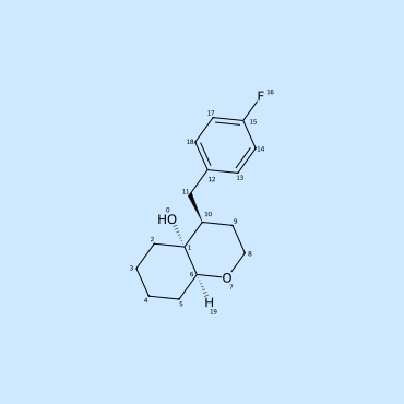 O[C@@]12CCCC[C@@H]1OCC[C@@H]2Cc1ccc(F)cc1